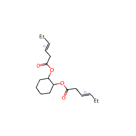 CC/C=C/CC(=O)OC1CCCCC1OC(=O)C/C=C/CC